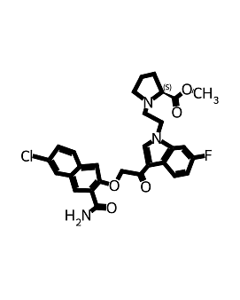 COC(=O)[C@@H]1CCCN1CCn1cc(C(=O)COc2cc3ccc(Cl)cc3cc2C(N)=O)c2ccc(F)cc21